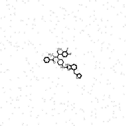 CCC(c1ccc(F)c(F)c1)C(N1CCC(Nc2nc3c(Cc4ccco4)cccc3[nH]2)CC1)N(C)C(=O)c1ccccc1